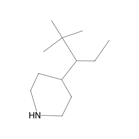 CCC(C1CCNCC1)C(C)(C)C